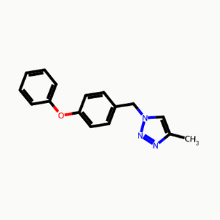 Cc1cn(Cc2ccc(Oc3ccccc3)cc2)nn1